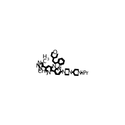 Cc1nnn(C)c1-c1cnc2c3ccc(N4CCN(C5CCN(C(C)C)CC5)CC4)nc3n(C(CC3CCOCC3)c3ccccc3F)c2c1